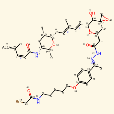 CC(=O)O[C@@H](C)/C=C\C(=O)N[C@@H]1C[C@H](C)[C@H](C/C=C(C)/C=C/[C@H]2O[C@H](CC(=O)N/N=C(\C)c3ccc(OCCCCCNC(=O)CBr)cc3)C[C@@]3(CO3)C2O)O[C@@H]1C